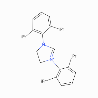 CC(C)c1cccc(C(C)C)c1N1C=[N+](c2c(C(C)C)cccc2C(C)C)CC1